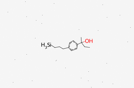 CCC(C)(O)c1ccc(CCC[SiH3])cc1